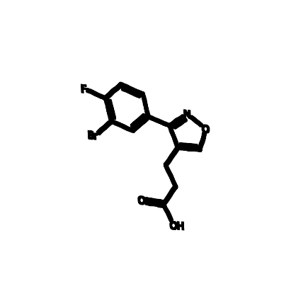 O=C(O)CCc1conc1-c1ccc(F)c(Br)c1